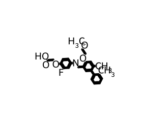 COCCOc1cc(C)c(-c2ccccc2C)cc1C=Nc1ccc(OCC(=O)O)c(F)c1